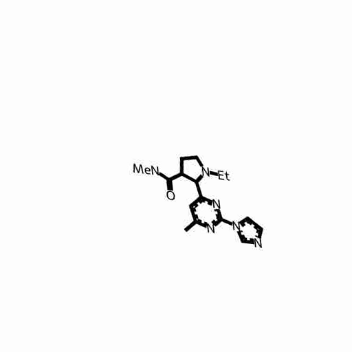 [CH2]CN1CCC(C(=O)NC)C1c1cc(C)nc(-n2ccnc2)n1